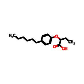 CCCCCCc1ccc(OC(CC)C(=O)O)cc1